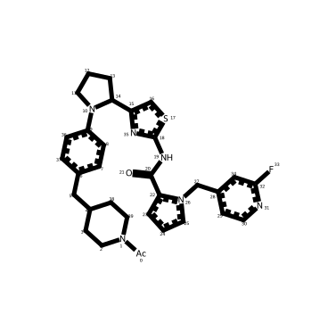 CC(=O)N1CCC(Cc2ccc(N3CCCC3c3csc(NC(=O)c4cccn4Cc4ccnc(F)c4)n3)cc2)CC1